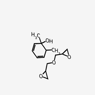 C(OCC1CO1)C1CO1.CC1C=CC=CC1(C)O